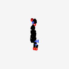 COc1cccc(OCC2CC=C(C3=CCC4(C)C(CCC5(C)C6CC[C@@]7(NCCN8CCS(=O)(=O)CC8)CCC[C@@H]7C6CCC54)C3(C)C)CC2)n1